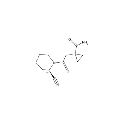 N#C[C@H]1CCCCN1C(=O)[CH]C1(C(N)=O)CC1